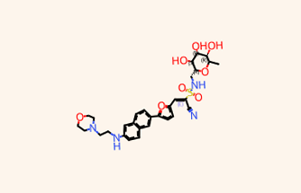 CC1O[C@H](CNS(=O)(=O)/C(C#N)=C/c2ccc(-c3ccc4cc(NCCN5CCOCC5)ccc4c3)o2)[C@@H](O)[C@H](O)[C@H]1O